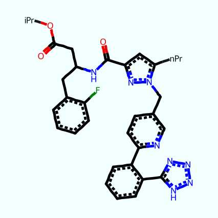 CCCc1cc(C(=O)NC(CC(=O)OC(C)C)Cc2ccccc2F)nn1Cc1ccc(-c2ccccc2-c2nnn[nH]2)nc1